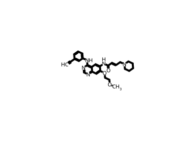 C#Cc1cccc(Nc2ncnc3cc(OCCOC)c(NC(=O)/C=C/CN4CCCCC4)cc23)c1